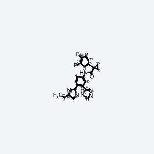 O=C(Nc1ccc(C2N=CC(CC(F)(F)F)=N2)c(-c2nnn[nH]2)c1)C1(c2ccc(F)c(F)c2)CC1